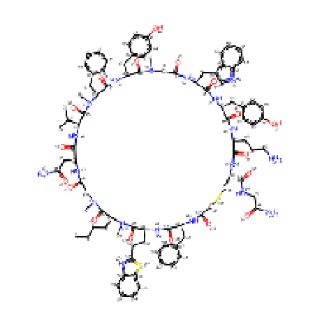 CCCC[C@H]1C(=O)N(C)CC(=O)N[C@@H](CC(N)=O)C(=O)N[C@@H](C(C)C)C(=O)N(C)[C@@H](Cc2ccccc2)C(=O)N[C@@H](Cc2ccc(O)cc2)C(=O)N(C)CC(=O)N[C@@H](Cc2c[nH]c3ccccc23)C(=O)N[C@@H](Cc2ccc(O)cc2)C(=O)N[C@@H](CCCN)C(=O)N[C@H](C(=O)NCC(N)=O)CSCC(=O)N[C@@H](Cc2ccccc2)C(=O)N[C@@H](CCc2nc3ccccc3s2)C(=O)N1C